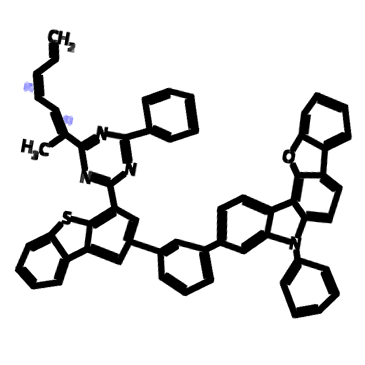 C=C/C=C\C=C(/C)c1nc(-c2ccccc2)nc(-c2cc(-c3cccc(-c4ccc5c6c7oc8ccccc8c7ccc6n(-c6ccccc6)c5c4)c3)cc3c2sc2ccccc23)n1